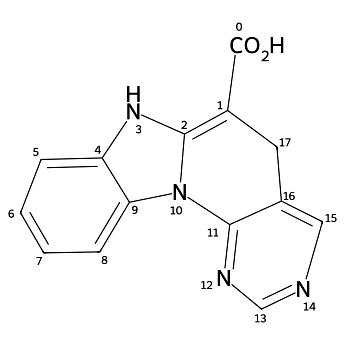 O=C(O)C1=C2Nc3ccccc3N2c2ncncc2C1